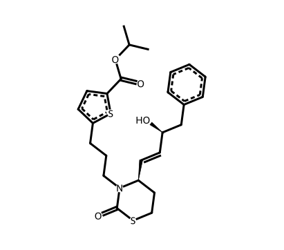 CC(C)OC(=O)c1ccc(CCCN2C(=O)SCC[C@@H]2/C=C/[C@@H](O)Cc2ccccc2)s1